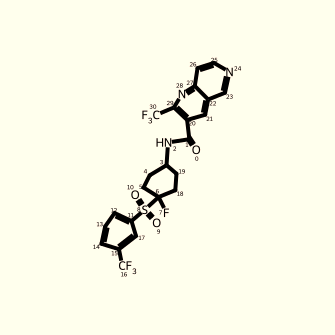 O=C(NC1CCC(F)(S(=O)(=O)c2cccc(C(F)(F)F)c2)CC1)c1cc2cnccc2nc1C(F)(F)F